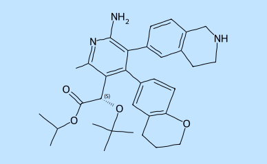 Cc1nc(N)c(-c2ccc3c(c2)CCNC3)c(-c2ccc3c(c2)CCCO3)c1[C@H](OC(C)(C)C)C(=O)OC(C)C